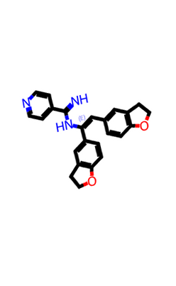 N=C(N/C(=C/c1ccc2c(c1)CCO2)c1ccc2c(c1)CCO2)c1ccncc1